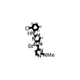 CCn1c(-c2ccnc(NC)n2)nc2cnc(Nc3ccccc3Cl)nc21